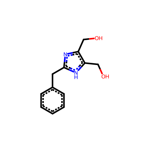 OCc1nc(Cc2ccccc2)[nH]c1CO